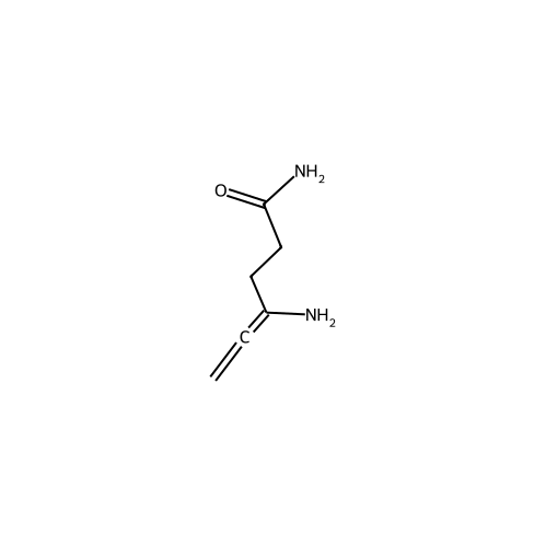 C=C=C(N)CCC(N)=O